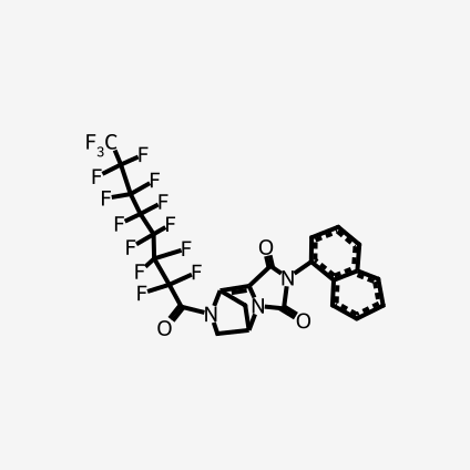 O=C1C2=C3CC(CN3C(=O)C(F)(F)C(F)(F)C(F)(F)C(F)(F)C(F)(F)C(F)(F)C(F)(F)F)N2C(=O)N1c1cccc2ccccc12